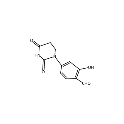 O=Cc1ccc(N2CCC(=O)NC2=O)cc1O